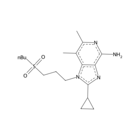 CCCCS(=O)(=O)CCCn1c(C2CC2)nc2c(N)nc(C)c(C)c21